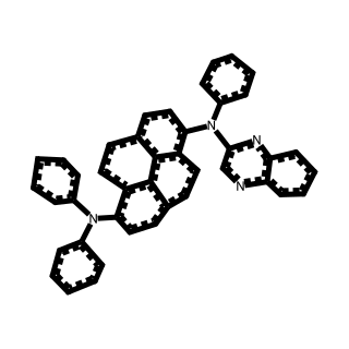 c1ccc(N(c2ccccc2)c2ccc3ccc4c(N(c5ccccc5)c5cnc6ccccc6n5)ccc5ccc2c3c54)cc1